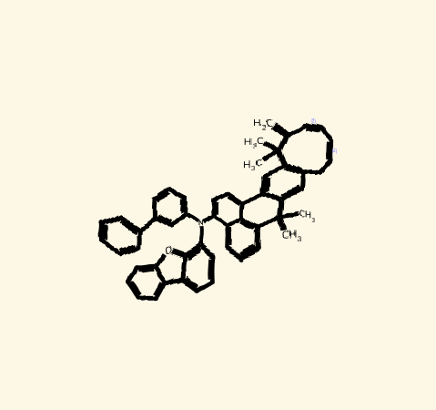 C=C1/C=C\C=C/Cc2cc3c(cc2C1(C)C)-c1ccc(N(c2cccc(-c4ccccc4)c2)c2cccc4c2oc2ccccc24)c2cccc(c12)C3(C)C